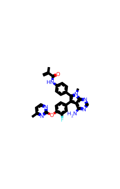 C=C(C)C(=O)Nc1ccc(-c2c(-c3ccc(Oc4nccc(C)n4)c(F)c3)c3c(N)ncnc3n2C)cc1